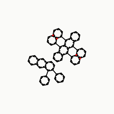 c1ccc(-c2c3ccccc3c(-c3ccccc3)c3c(-c4ccccc4)c4ccccc4c(-c4ccccc4)c23)cc1.c1ccc(-c2ccc3cc4ccccc4cc3c2-c2ccccc2)cc1